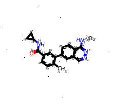 CC[C@@H](C)Nc1nncc2cc(-c3cc(C(=O)NC4CC4)ccc3C)ccc12